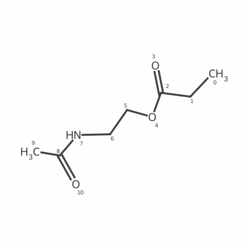 CCC(=O)OCCNC(C)=O